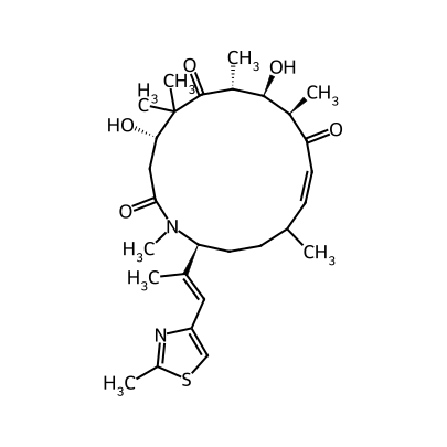 CC(=Cc1csc(C)n1)[C@@H]1CCC(C)C=CC(=O)[C@H](C)[C@H](O)[C@@H](C)C(=O)C(C)(C)[C@@H](O)CC(=O)N1C